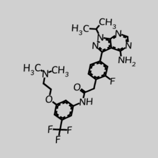 CC(C)n1nc(-c2ccc(CC(=O)Nc3cc(OCCN(C)C)cc(C(F)(F)F)c3)c(F)c2)c2c(N)ncnc21